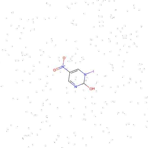 O=[N+]([O-])C1=CN(I)C(O)N=C1